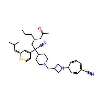 C=C/C(=C\C(P)=C/C(C)C)C(C#N)(C[C@@H](CCC)CC(C)=O)C1CCN(CC2CN(C3C=CC=C(C#N)C=C3)C2)CC1